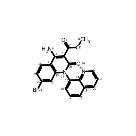 COC(=O)c1c(N)c2ccc(Br)cc2n(-c2cccc3cccnc23)c1=O